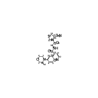 C[C@H]1COCCN1c1ccc2nccc(C(=O)NCC(=O)N3CSC[C@H]3C#N)c2c1